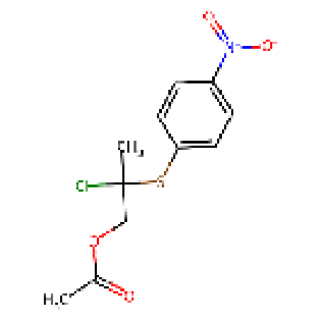 CC(=O)OCC(C)(Cl)Sc1ccc([N+](=O)[O-])cc1